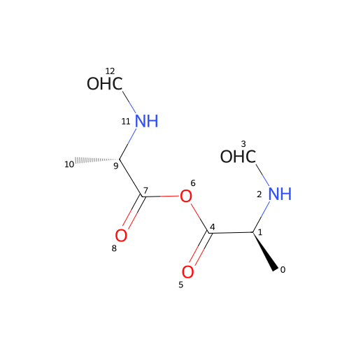 C[C@H](NC=O)C(=O)OC(=O)[C@H](C)NC=O